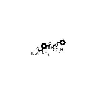 CC(C)(C)OC(=O)[C@H](N)c1cccc(C(=O)NC(COCc2ccccc2)C(=O)O)c1